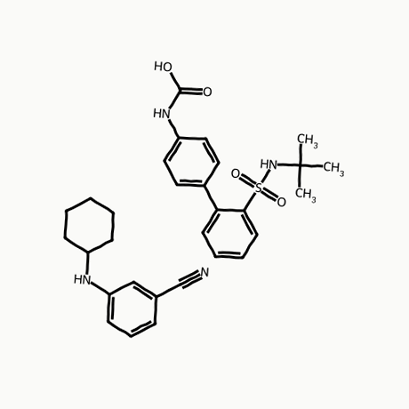 CC(C)(C)NS(=O)(=O)c1ccccc1-c1ccc(NC(=O)O)cc1.N#Cc1cccc(NC2CCCCC2)c1